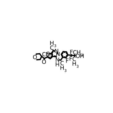 Cc1nnc(N[C@H](C)c2cccc(C(F)(F)C(C)(C)O)c2F)c2cc(C(=O)C3(C)CCOCC3)sc12